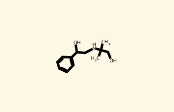 CC(C)(CO)NCC(O)c1ccccc1